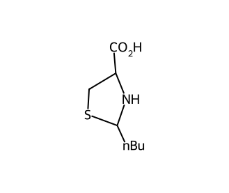 CCCCC1NC(C(=O)O)CS1